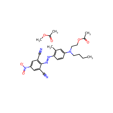 CCCCN(CCOC(C)=O)c1ccc(N=Nc2c(C#N)cc([N+](=O)[O-])cc2C#N)c(C)c1.COC(C)=O